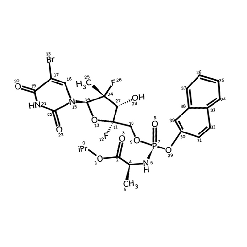 CC(C)OC(=O)[C@H](C)N[P@](=O)(OC[C@@]1(F)O[C@@H](n2cc(Br)c(=O)[nH]c2=O)[C@](C)(F)[C@@H]1O)Oc1ccc2ccccc2c1